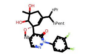 CCCCCC(CCC)C1=C[C@@](OCCCC)(c2ccnn(-c3ccc(F)c(F)c3)c2=O)C(O)C(C)(O)C1